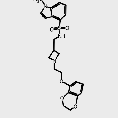 Cn1ccc2c(S(=O)(=O)NCC3CN(CCOc4cccc5c4OCCO5)C3)cccc21